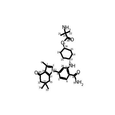 Cc1cn(-c2ccc(C(N)=O)c(N[C@H]3CC[C@H](OC(=O)C(C)(C)N)CC3)c2)c2c1C(=O)CC(C)(C)C2